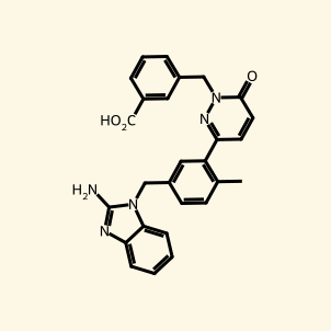 Cc1ccc(Cn2c(N)nc3ccccc32)cc1-c1ccc(=O)n(Cc2cccc(C(=O)O)c2)n1